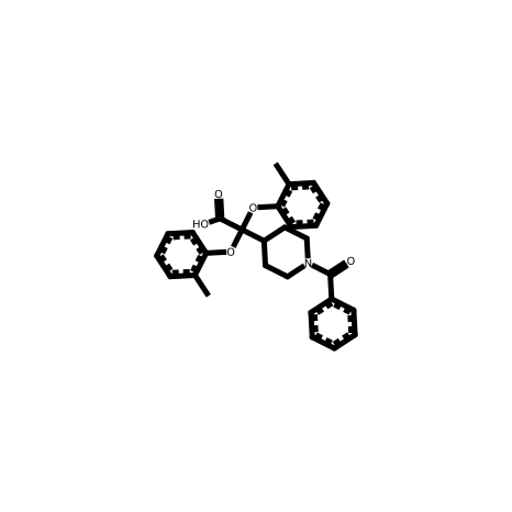 Cc1ccccc1OC(Oc1ccccc1C)(C(=O)O)C1CCN(C(=O)c2ccccc2)CC1